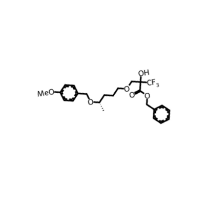 COc1ccc(CO[C@@H](C)CCCOCC(O)(C(=O)OCc2ccccc2)C(F)(F)F)cc1